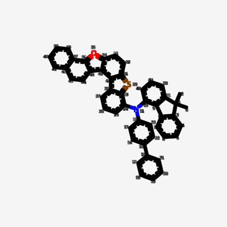 CC1(C)c2ccccc2-c2c(N(c3ccc(-c4ccccc4)cc3)c3cccc4c3sc3ccc5oc6c7ccccc7ccc6c5c34)cccc21